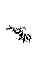 CN(C)c1ncc([C@@H](N)N(C(=O)[C@H]2CNCCO2)C2CC2)nc1CCCNC(=O)OI